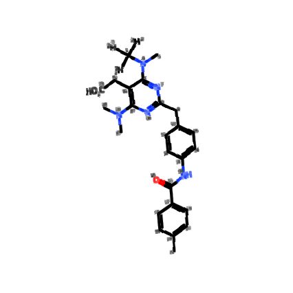 [2H]C([2H])([2H])N(C)c1nc(Cc2ccc(NC(=O)c3ccc(C)cc3)cc2)nc(N(C)C)c1CC(=O)O